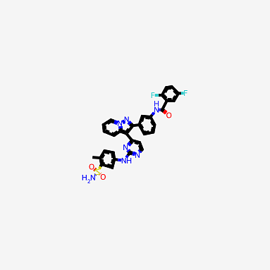 Cc1ccc(Nc2nccc(-c3c(-c4cccc(NC(=O)c5cc(F)ccc5F)c4)nn4ccccc34)n2)cc1S(N)(=O)=O